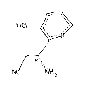 Cl.N#CC[C@@H](N)c1ccccn1